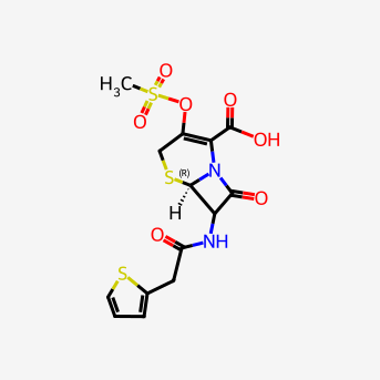 CS(=O)(=O)OC1=C(C(=O)O)N2C(=O)C(NC(=O)Cc3cccs3)[C@H]2SC1